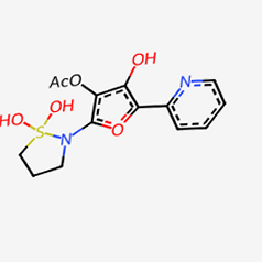 CC(=O)Oc1c(N2CCCS2(O)O)oc(-c2ccccn2)c1O